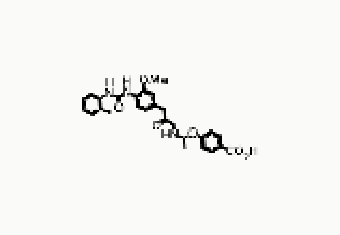 COc1cc(CC(=O)CNC(C)Oc2ccc(C(=O)O)cc2)ccc1NC(=O)Nc1ccccc1C